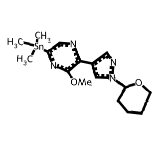 COc1n[c]([Sn]([CH3])([CH3])[CH3])cnc1-c1cnn(C2CCCCO2)c1